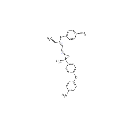 C=C/C(=C\C=C1/CC1(C)c1ccc(Oc2ccc(N)cc2)cc1)Oc1ccc(N)cc1